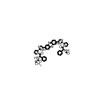 COC(=O)N[C@@H](C(=O)N1CCC[C@H]1C1=NCC(c2ccc3nc4cc(C5CN=C([C@@H]6CCCN6C(=O)[C@H](NC=O)c6ccccc6)N5)ccc4nc3c2)N1)c1ccccc1